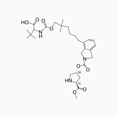 COC(=O)[C@@H]1C[C@@H](OC(=O)N2Cc3cccc(CCCCC(C)(C)COC(=O)NC(C(=O)O)C(C)(C)C)c3C2)CN1